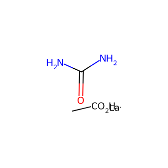 CC(=O)O.NC(N)=O.[La]